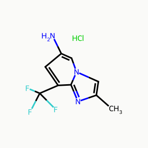 Cc1cn2cc(N)cc(C(F)(F)F)c2n1.Cl